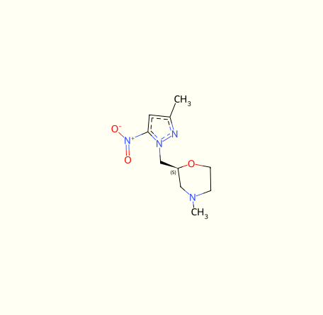 Cc1cc([N+](=O)[O-])n(C[C@@H]2CN(C)CCO2)n1